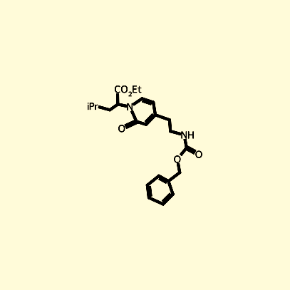 CCOC(=O)C(CC(C)C)n1ccc(CCNC(=O)OCc2ccccc2)cc1=O